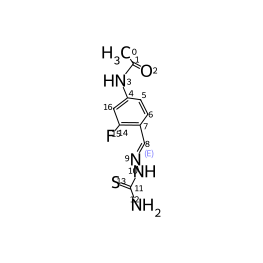 CC(=O)Nc1ccc(/C=N/NC(N)=S)c(F)c1